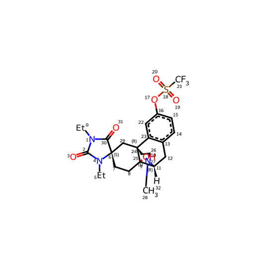 CCN1C(=O)N(CC)[C@]2(CC[C@@]3(O)[C@H]4Cc5ccc(OS(=O)(=O)C(F)(F)F)cc5[C@@]3(CCN4C)C2)C1=O